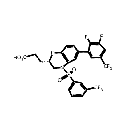 O=C(O)CC[C@H]1CN(S(=O)(=O)c2cccc(C(F)(F)F)c2)c2cc(-c3cc(C(F)(F)F)cc(F)c3F)ccc2O1